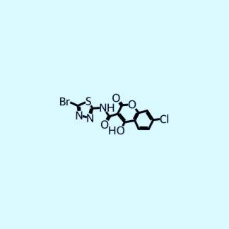 O=C(Nc1nnc(Br)s1)c1c(O)c2ccc(Cl)cc2oc1=O